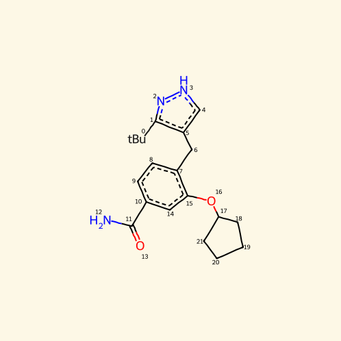 CC(C)(C)c1n[nH]cc1Cc1ccc(C(N)=O)cc1OC1CCCC1